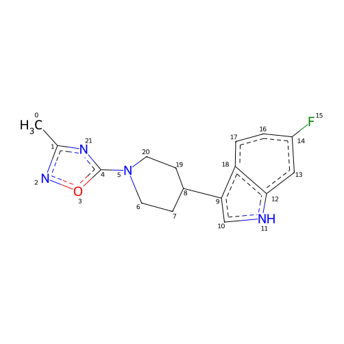 Cc1noc(N2CCC(c3c[nH]c4cc(F)ccc34)CC2)n1